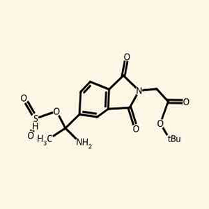 CC(C)(C)OC(=O)CN1C(=O)c2ccc(C(C)(N)O[SH](=O)=O)cc2C1=O